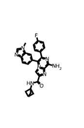 Cn1cnc2ccc(-c3c(-c4ccc(F)cc4)nc(N)c4nc(C(=O)NC56CC(C5)C6)cn34)cc21